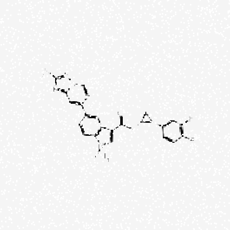 Cn1cc(C(=O)N[C@@H]2C[C@H]2c2ccc(F)c(F)c2)c2cc(-c3ccn4nc(N)nc4c3)ccc21